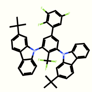 CC(C)(C)c1ccc2c3ccccc3n(-c3cc(-c4cc(F)cc(F)c4F)cc(-n4c5ccccc5c5ccc(C(C)(C)C)cc54)c3C(F)(F)F)c2c1